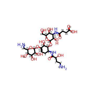 NCC[C@H](O)C(=O)NC1CC=C(OC2OC(CN)C(O)C(O)C2O)C(O)C1OC1OC(CO)C(O)C(NC(=O)CCC(=O)O)C1O